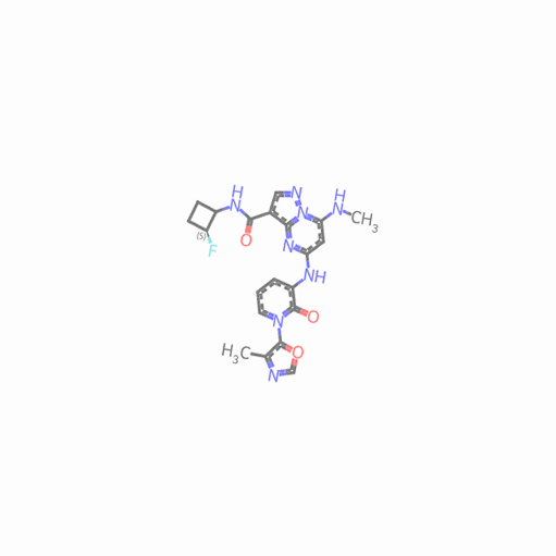 CNc1cc(Nc2cccn(-c3ocnc3C)c2=O)nc2c(C(=O)NC3CC[C@@H]3F)cnn12